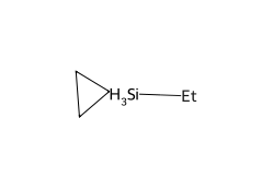 C1CC1.CC[SiH3]